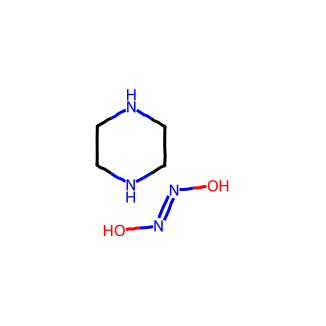 C1CNCCN1.ON=NO